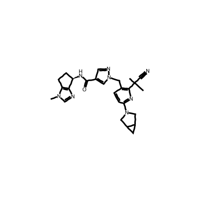 Cn1cnc2c1CC[C@H]2NC(=O)c1cnn(Cc2ccc(N3CC4CC4C3)nc2C(C)(C)C#N)c1